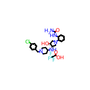 NC(=O)Nc1ccccc1N1C[C@H](NC2CCN(Cc3ccc(Cl)cc3)CC2)[C@@H](O)C1.O=C(O)C(F)(F)F